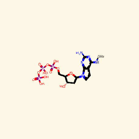 CONc1nc(N)nc2c1ccn2C1C[C@H](O)C(COP(=O)(O)OP(=O)(O)OP(=O)(O)O)O1